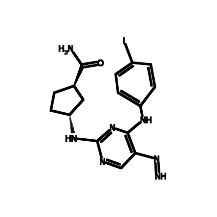 N=Nc1cnc(N[C@@H]2CC[C@@H](C(N)=O)C2)nc1Nc1ccc(I)cc1